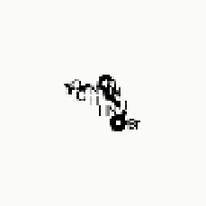 Cc1c(Br)cccc1NC(=O)c1cc2n(n1)CCC[C@@H]2NCC(=O)OC(C)C